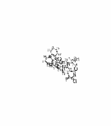 [2H]C1CC12COc1nc(Cl)c(F)c3nc(SC)nc(c13)N2CCO[Si](c1ccccc1)(c1ccccc1)C(C)(C)C